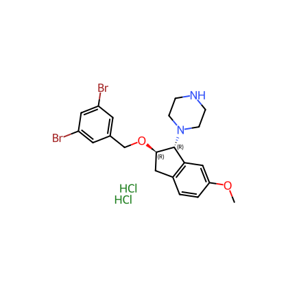 COc1ccc2c(c1)[C@@H](N1CCNCC1)[C@H](OCc1cc(Br)cc(Br)c1)C2.Cl.Cl